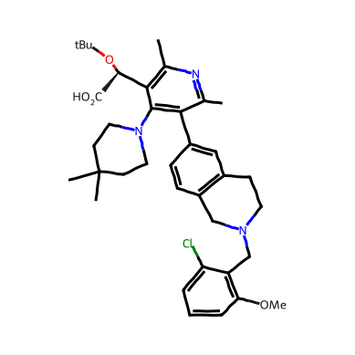 COc1cccc(Cl)c1CN1CCc2cc(-c3c(C)nc(C)c([C@H](OC(C)(C)C)C(=O)O)c3N3CCC(C)(C)CC3)ccc2C1